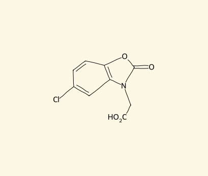 O=C(O)Cn1c(=O)oc2ccc(Cl)cc21